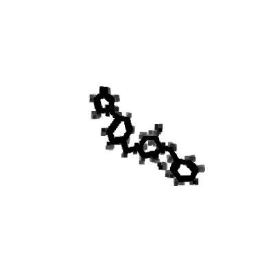 C[C@@H]1CN(Cc2ccc(-n3ccnc3)cc2)C[C@H](C)N1Cc1ccccc1